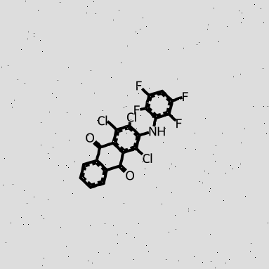 O=C1c2ccccc2C(=O)c2c(Cl)c(Nc3c(F)c(F)cc(F)c3F)c(Cl)c(Cl)c21